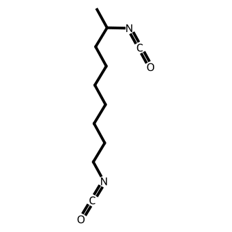 CC(CCCCCCCN=C=O)N=C=O